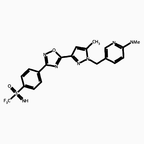 CNc1ccc(Cn2nc(-c3nc(-c4ccc(S(=N)(=O)C(F)(F)F)cc4)no3)cc2C)cn1